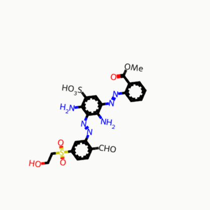 COC(=O)c1ccccc1/N=N/c1cc(S(=O)(=O)O)c(N)c(/N=N/c2cc(S(=O)(=O)CCO)ccc2C=O)c1N